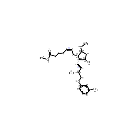 CC(C)OC(=O)CCC/C=C\C[C@@H]1[C@@H](/C=C/[C@@H](O)COc2cccc(C(F)(F)F)c2)[C@H](O)C[C@@H]1OC(C)C